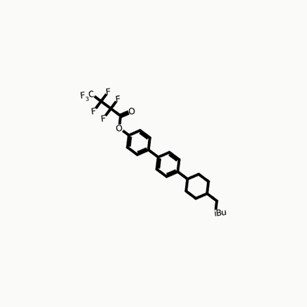 CCC(C)CC1CCC(c2ccc(-c3ccc(OC(=O)C(F)(F)C(F)(F)C(F)(F)F)cc3)cc2)CC1